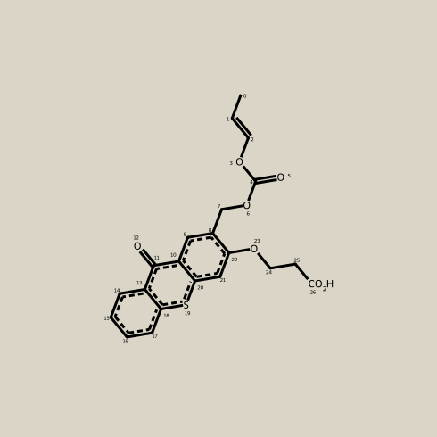 CC=COC(=O)OCc1cc2c(=O)c3ccccc3sc2cc1OCCC(=O)O